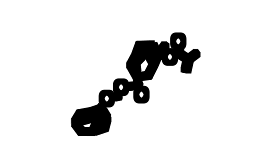 C=C(C)C(=O)OC1(C)C2CC3CC1CC(C(=O)OCOC1C4CC5CC(C4)CC1C5)(C3)C2